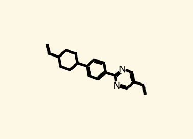 CCc1cnc(-c2ccc(C3CCC(CC)CC3)cc2)nc1